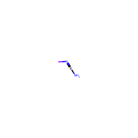 NB=NI